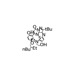 CCCCC(CC)COc1ccc(O)c(-c2nc3n(c(=O)c2C)N=C(C(C)(C)C)/C3=N/c2ccc(N(CC)CCO)s2)c1